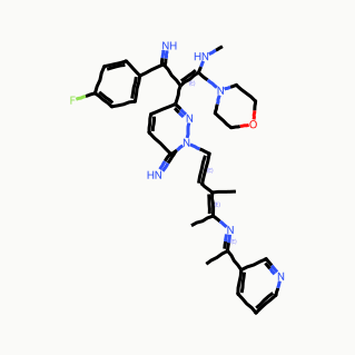 CN/C(=C(\C(=N)c1ccc(F)cc1)c1ccc(=N)n(/C=C/C(C)=C(C)/N=C(\C)c2cccnc2)n1)N1CCOCC1